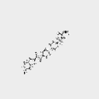 NC(=O)NS(=O)(=O)N1CC=C(c2ccc(NC(=O)N3Cc4ccc(F)cc4C3)cc2)CC1